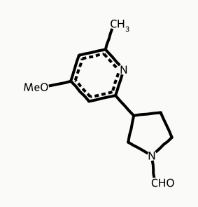 COc1cc(C)nc(C2CCN(C=O)C2)c1